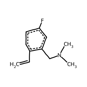 C=Cc1ccc(F)cc1CN(C)C